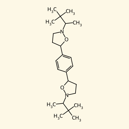 CC(N1CCC(c2ccc(C3CCN(C(C)C(C)(C)C)O3)cc2)O1)C(C)(C)C